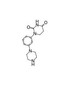 O=C1CCN(c2cccc(N3CCNCC3)c2)C(=O)N1